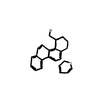 BrCC1CCCc2ccc3c(ccc4ccccc43)c21.C1=CCOC=C1